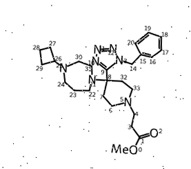 COC(=O)CCN1CCC(c2nnnn2Cc2ccccc2)(N2CCCN(C3CCC3)CC2)CC1